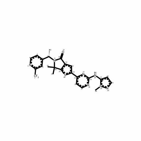 C[C@@H](c1ccnc(C(F)(F)F)c1)N1C(=O)c2cc(-c3ccnc(Nc4ccnn4C)n3)sc2C1(C)C